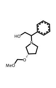 COCO[C@H]1CCN(C(CO)c2ccccc2)C1